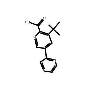 CC(C)(C)c1cc(-c2cnccn2)cnc1C(=O)O